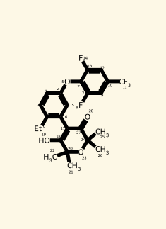 CCc1ccc(Oc2c(F)cc(C(F)(F)F)cc2F)cc1C1=C(O)C(C)(C)OC(C)(C)C1=O